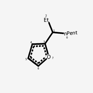 CCCCCC(CC)c1ccco1